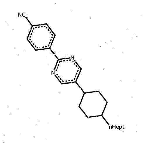 CCCCCCCC1CCC(c2cnc(-c3ccc(C#N)cc3)nc2)CC1